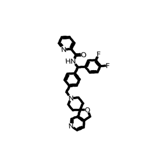 O=C(NC(c1ccc(CN2CCC3(CC2)OCc2ccncc23)cc1)c1ccc(F)c(F)c1)c1ccccn1